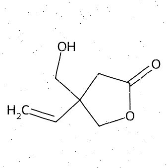 C=CC1(CO)COC(=O)C1